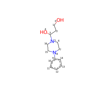 OCCC(O)N1CCN(c2ccccc2)CC1